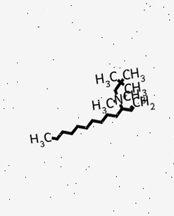 C=CC(CCCCCCCCCC)[N+](C)(C)CC(C)(C)C